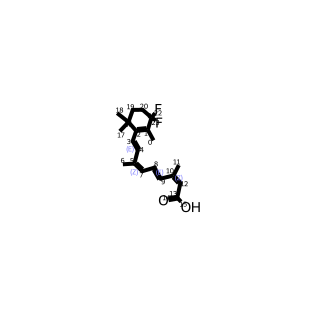 CC1=C(/C=C/C(C)=C\C=C\C(C)=C/C(=O)O)C(C)(C)CCC1(F)F